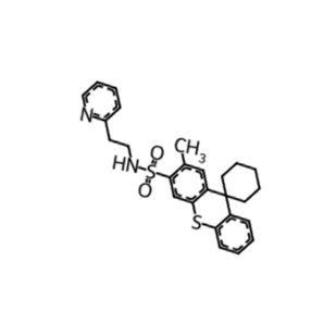 Cc1cc2c(cc1S(=O)(=O)NCCc1ccccn1)Sc1ccccc1C21CCCCC1